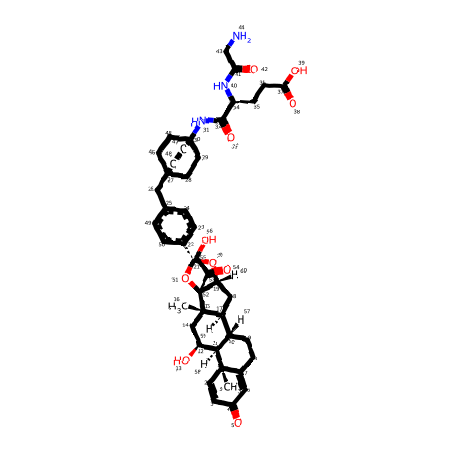 C[C@]12C=CC(=O)C=C1CC[C@@H]1[C@@H]2[C@@H](O)C[C@@]2(C)[C@H]1C[C@H]1O[C@@H](c3ccc(CC45CCC(NC(=O)[C@H](CCC(=O)O)NC(=O)CN)(CC4)CC5)cc3)O[C@]12C(=O)CO